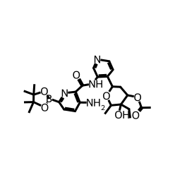 CCC1(O)C(C)OC(c2ccncc2NC(=O)c2nc(B3OC(C)(C)C(C)(C)O3)ccc2N)CC1OC(C)=O